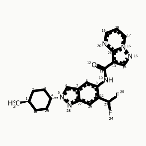 C[C@H]1CC[C@H](n2cc3cc(NC(=O)c4cnn5cccnc45)c(C(F)F)cc3n2)CC1